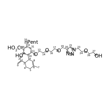 C=C(C)C1CCC(C)=CC1c1c(OCCOCCOCc2cn(CCOCCO)nn2)cc(CCCCC)c(C(=O)O)c1O